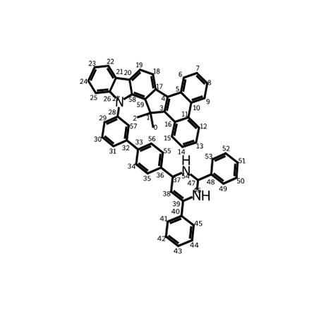 CC1(C)c2c(c3ccccc3c3ccccc23)-c2ccc3c4ccccc4n(-c4cccc(-c5ccc(C6C=C(c7ccccc7)NC(c7ccccc7)N6)cc5)c4)c3c21